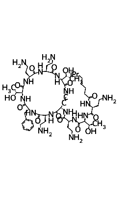 CC(C)CCCCC(=O)N[C@@H](CCN)C(=O)N[C@H](C(=O)N[C@@H](CCN)C(=O)N[C@H]1CCNC(=O)[C@H]([C@@H](C)O)NC(=O)[C@H](CCN)NC(=O)[C@H](CCN)NC(=O)[C@H]([C@@H](C)O)NC(=O)[C@H](Cc2ccccc2)NC(=O)[C@H](CCN)NC1=O)[C@@H](C)O